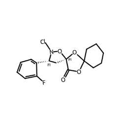 O=C1OC2(CCCCC2)O[C@@]12C[C@H](c1ccccc1F)N(Cl)O2